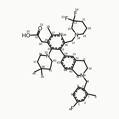 Cc1cc(F)ccc1CN1CCc2cc(-c3c(CN4CCCC(F)(F)C4)nc(C)c(CC(=O)O)c3N3CCC(C)(C)CC3)ccc2C1